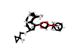 [2H]C([2H])(c1ccc(OC)nc1)N1C2CC1CN(c1ccc(-c3cc(OCC4(C#N)CC4)cn4ncc(C#N)c34)cn1)C2